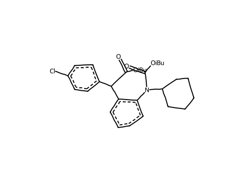 CC(C)COC(=O)C(c1ccc(Cl)cc1)c1ccccc1N(C(=O)OCC(C)C)C1CCCCC1